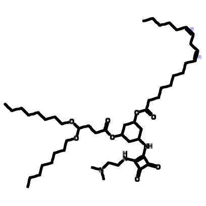 CCCCC/C=C\C/C=C\CCCCCCCC(=O)OC1CC(Nc2c(NCCN(C)C)c(=O)c2=O)CC(OC(=O)CCC(OCCCCCCCC)OCCCCCCCC)C1